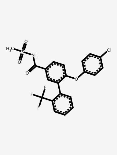 CS(=O)(=O)NC(=O)c1ccc(Oc2ccc(Cl)cc2)c(-c2ccccc2C(F)(F)F)c1